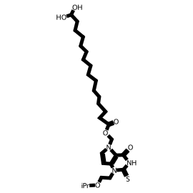 CC(C)OCCn1c(=S)[nH]c(=O)c2c1ccn2COC(=O)CCCCCCCCCCCCCCC(O)O